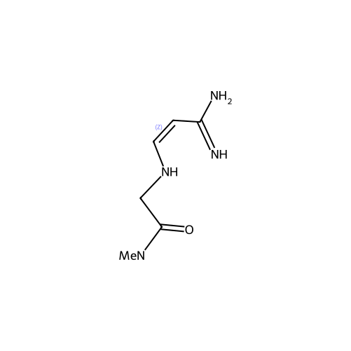 CNC(=O)CN/C=C\C(=N)N